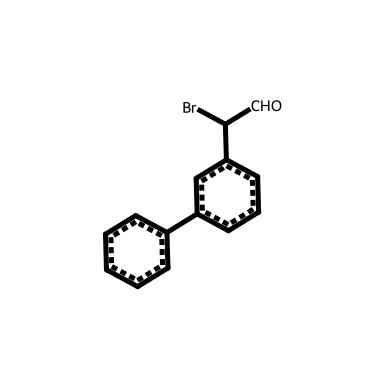 O=CC(Br)c1cccc(-c2ccccc2)c1